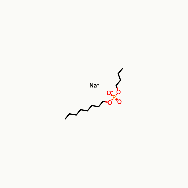 CCCCCCCCOP(=O)([O-])OCCCC.[Na+]